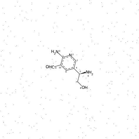 Nc1ncc([C@@H](N)CO)cc1C=O